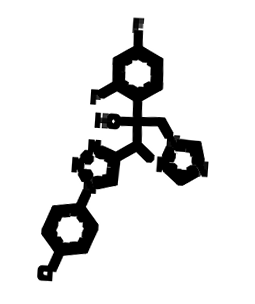 CC(c1cn(-c2ccc(Cl)cc2)nn1)C(O)(Cn1cncn1)c1ccc(F)cc1F